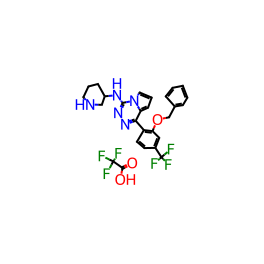 FC(F)(F)c1ccc(-c2nnc(NC3CCCNC3)n3cccc23)c(OCc2ccccc2)c1.O=C(O)C(F)(F)F